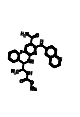 C[C@H](NC(=O)OC(C)(C)C)[C@H](Nc1nc(Nc2ccc3ncccc3c2)c(C(N)=O)cc1F)c1ccccc1